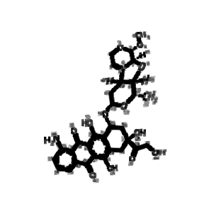 CO[C@H]1OCCN2[C@@H]1O[C@@H]1[C@H](C)O[C@@H](O[C@H]3C[C@](O)(C(=O)CO)Cc4c(O)c5c(c(O)c43)C(=O)c3c(N)cccc3C5=O)C[C@@H]12